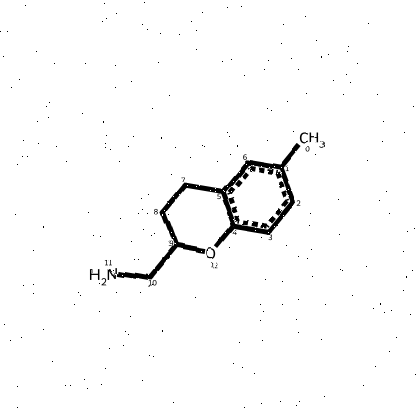 Cc1ccc2c(c1)CCC(CN)O2